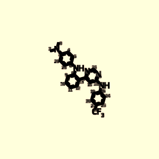 CN(C)c1ccc(Nc2ccccc2-c2cc(Nc3ccc(C(F)(F)F)cc3)ncn2)cc1